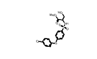 COC(=O)C(CO)NS(=O)(=O)c1ccc(Oc2ccc(Cl)cc2)cc1